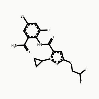 NC(=O)c1cc(Cl)cc(Cl)c1NC(=O)c1cc(OCC(F)F)nn1C1CC1